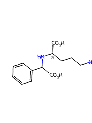 NCCC[C@H](NC(C(=O)O)c1ccccc1)C(=O)O